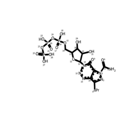 CCCc1nn(C(N)=O)c2c(=O)n(C3OC(COP(=O)(O)OP(=O)(O)OP(=O)(O)O)C(O)C3O)nnc12